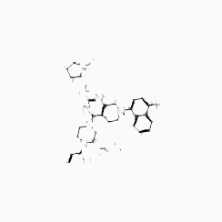 C=CC(=O)N1CCN(c2nc(OC[C@@H]3CCCN3C)nc3c2CCN(c2ccc(F)c4ccccc24)C3)C[C@@H]1CC#N